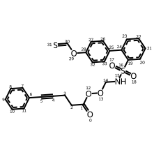 O=C(CCC#Cc1ccccc1)OOCNS(=O)(=O)c1ccccc1-c1ccc(OC=S)cc1